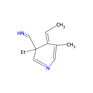 C/C=C1\C(C)=CN=CC1(C=N)CC